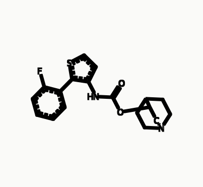 O=C(Nc1ccsc1-c1ccccc1F)OC1CN2CCC1CC2